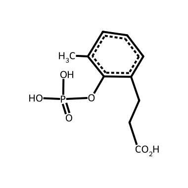 Cc1cccc(CCC(=O)O)c1OP(=O)(O)O